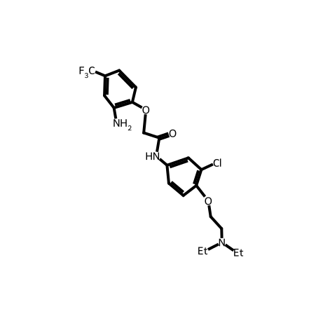 CCN(CC)CCOc1ccc(NC(=O)COc2ccc(C(F)(F)F)cc2N)cc1Cl